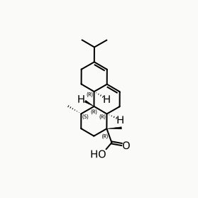 CC(C)C1=CC2=CC[C@@H]3[C@H]([C@@H](C)CC[C@@]3(C)C(=O)O)[C@H]2CC1